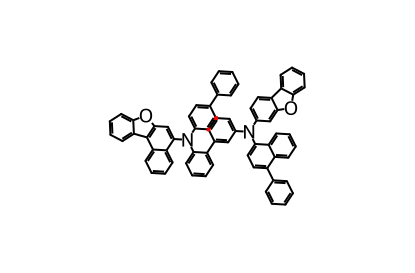 c1ccc(-c2ccc(N(c3ccccc3-c3cccc(N(c4ccc5c(c4)oc4ccccc45)c4ccc(-c5ccccc5)c5ccccc45)c3)c3cc4oc5ccccc5c4c4ccccc34)cc2)cc1